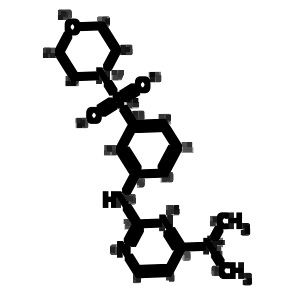 C[N+](C)c1ccnc(Nc2cccc(S(=O)(=O)N3CCOCC3)c2)n1